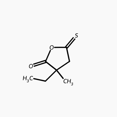 CCC1(C)CC(=S)OC1=O